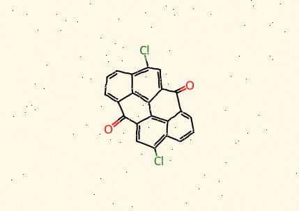 O=c1c2cc(Cl)c3cccc4c(=O)c5cc(Cl)c6cccc1c6c5-c2c34